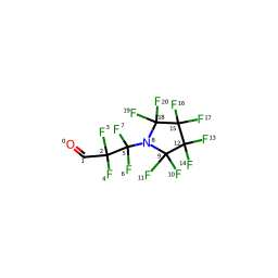 O=CC(F)(F)C(F)(F)N1C(F)(F)C(F)(F)C(F)(F)C1(F)F